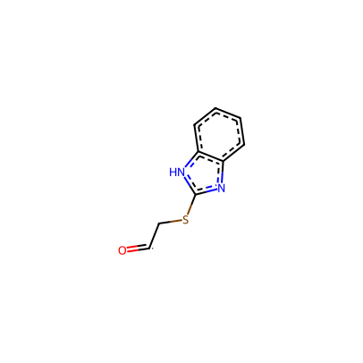 O=[C]CSc1nc2ccccc2[nH]1